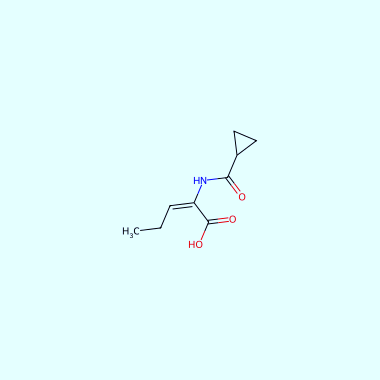 CCC=C(NC(=O)C1CC1)C(=O)O